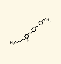 CCCCCCc1ccc(CCC2=CCC(CC[C@H]3CC[C@H](CC)CC3)CC2)cc1F